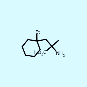 CCC1(CC(C)(N)C(=O)O)CCCCC1